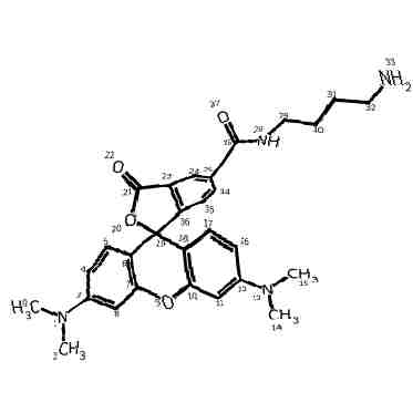 CN(C)c1ccc2c(c1)Oc1cc(N(C)C)ccc1C21OC(=O)c2cc(C(=O)NCCCCN)ccc21